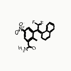 Cc1c(C(N)=O)cc([N+](=O)[O-])cc1C(=C1CC=Cc2ccccc21)C(F)F